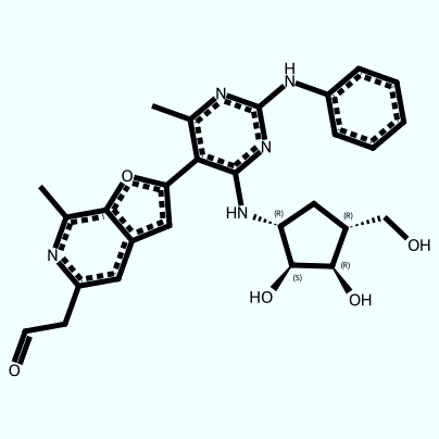 Cc1nc(Nc2ccccc2)nc(N[C@@H]2C[C@H](CO)[C@@H](O)[C@H]2O)c1-c1cc2cc(CC=O)nc(C)c2o1